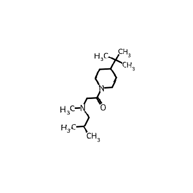 CC(C)CN(C)CC(=O)N1CCC(C(C)(C)C)CC1